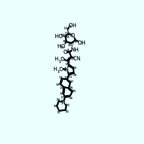 C/C(=C(/C#N)C(=O)N[C@H]1C(O)O[C@H](CO)[C@@H](O)[C@@H]1O)c1ccc(-c2ccc3cc(N4CCCCC4)ccc3c2)n1C